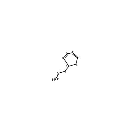 OSCC1C=CC=CC1